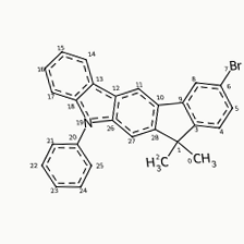 CC1(C)c2ccc(Br)cc2-c2cc3c4ccccc4n(-c4ccccc4)c3cc21